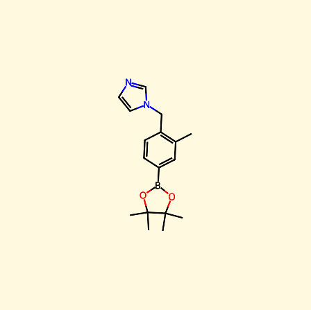 Cc1cc(B2OC(C)(C)C(C)(C)O2)ccc1Cn1ccnc1